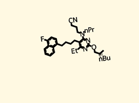 CCCC[C@@H](C)COc1nc(CC)c(CCCCc2ccc(F)c3ccccc23)c(N(CCC)CCCC#N)n1